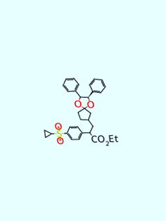 CCOC(=O)C(CC1CCC2(C1)OC(c1ccccc1)[C@@H](c1ccccc1)O2)c1ccc(S(=O)(=O)C2CC2)cc1